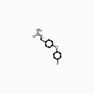 CC(C)(C)[S@@+]([O-])/N=C/c1ccc(Oc2ccc(F)cc2)cc1